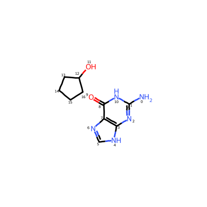 Nc1nc2[nH]cnc2c(=O)[nH]1.OC1CCCC1